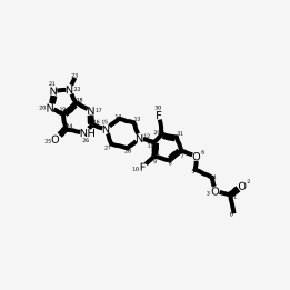 CC(=O)OCCOc1cc(F)c(N2CCN(c3nc4c(nnn4C)c(=O)[nH]3)CC2)c(F)c1